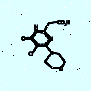 O=C(O)Cc1nc(N2CCOCC2)c(Cl)c(=O)[nH]1